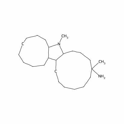 CN1C2CCCCCCCCC2C2CCCCCCC(C)(N)CCCC21